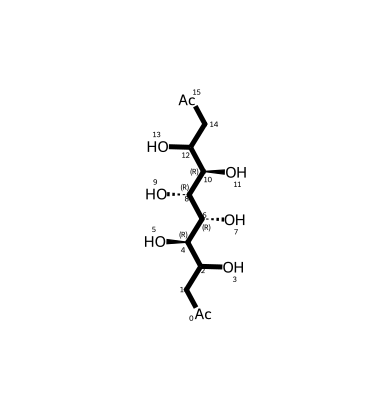 CC(=O)CC(O)[C@@H](O)[C@@H](O)[C@H](O)[C@H](O)C(O)CC(C)=O